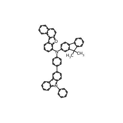 CC1(C)c2ccccc2-c2ccc(N(c3ccc(-c4ccc5c(c4)c4ccccc4n5-c4ccccc4)cc3)c3cccc4c3oc3ccc5ccccc5c34)cc21